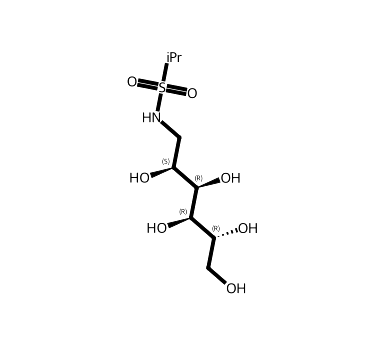 CC(C)S(=O)(=O)NC[C@H](O)[C@@H](O)[C@H](O)[C@H](O)CO